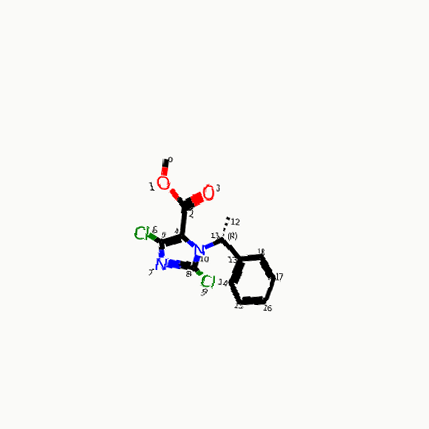 COC(=O)c1c(Cl)nc(Cl)n1[C@H](C)c1ccccc1